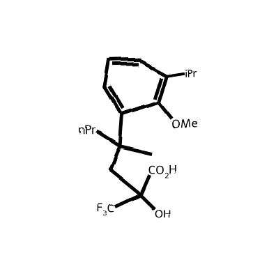 CCCC(C)(CC(O)(C(=O)O)C(F)(F)F)c1cccc(C(C)C)c1OC